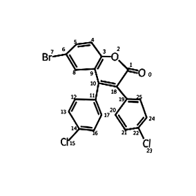 O=c1oc2ccc(Br)cc2c(-c2ccc(Cl)cc2)c1-c1ccc(Cl)cc1